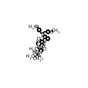 COc1ccc(CN(Cc2ccc(OC)cc2)c2cc3ccccc3c(-c3c(Cl)c4c5c(nc(Cl)nc5c3F)N([C@H](C)c3cccnc3NC(=O)OC(C)(C)C)CCO4)n2)cc1